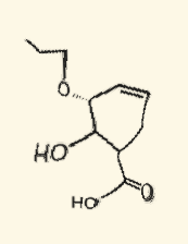 CCO[C@@H]1C=CCC(C(=O)O)C1O